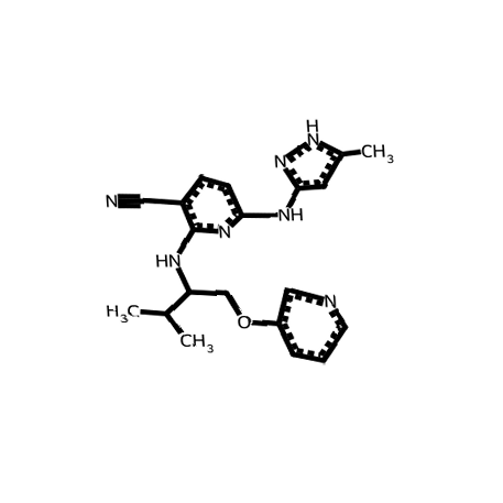 Cc1cc(Nc2ccc(C#N)c(NC(COc3cccnc3)C(C)C)n2)n[nH]1